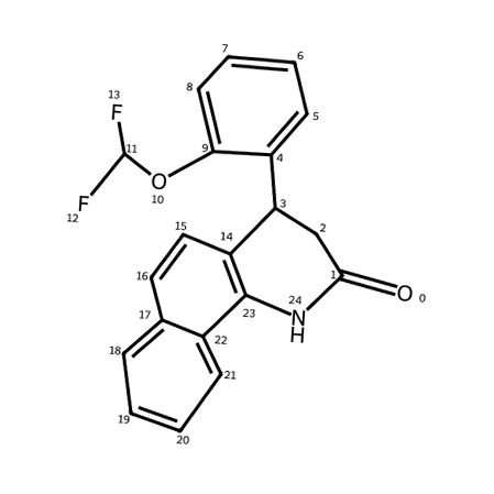 O=C1CC(c2ccccc2OC(F)F)c2ccc3ccccc3c2N1